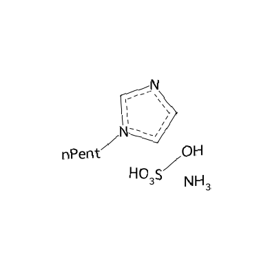 CCCCCn1ccnc1.N.O=S(=O)(O)O